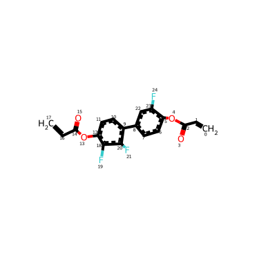 C=CC(=O)Oc1ccc(-c2ccc(OC(=O)C=C)c(F)c2F)cc1F